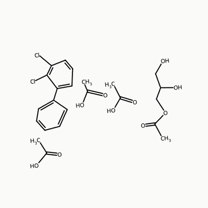 CC(=O)O.CC(=O)O.CC(=O)O.CC(=O)OCC(O)CO.Clc1cccc(-c2ccccc2)c1Cl